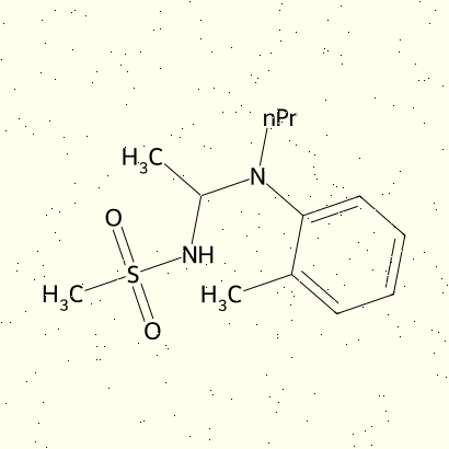 CCCN(c1ccccc1C)C(C)NS(C)(=O)=O